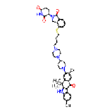 CCc1cc2c(cc1N1CCC(N3CCN(CCCCSc4cccc5c4CN(C4CCC(=O)NC4=O)C5=O)CC3)CC1)C(C)(C)c1[nH]c3cc(C#N)ccc3c1C2=O